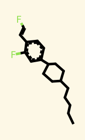 CCCCCC1CCC(c2ccc(C=CF)c(F)c2)CC1